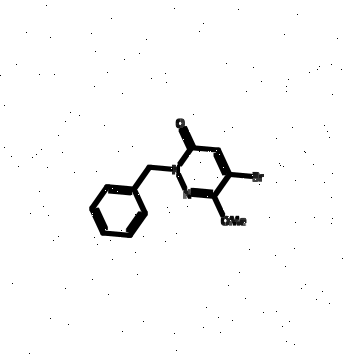 COc1nn(Cc2ccccc2)c(=O)cc1Br